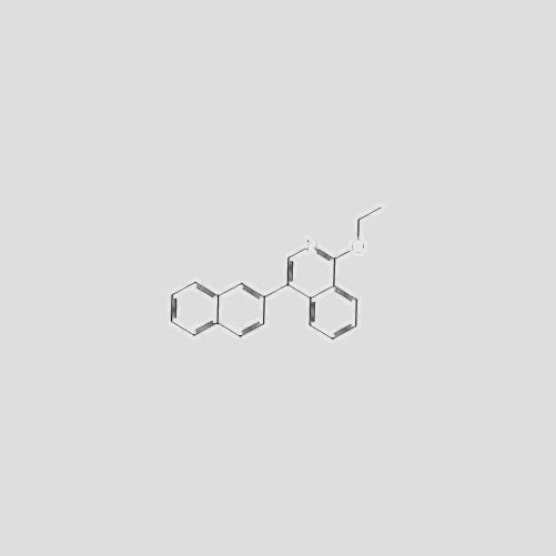 CCOc1ncc(-c2ccc3ccccc3c2)c2ccccc12